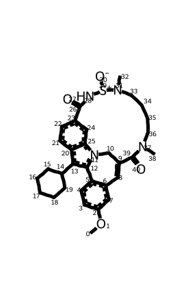 COc1ccc2c(c1)C=C1Cn3c-2c(C2CCCCC2)c2ccc(cc23)C(=O)N[S+]([O-])N(C)CCCCN(C)C1=O